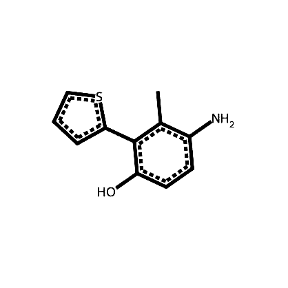 Cc1c(N)ccc(O)c1-c1cccs1